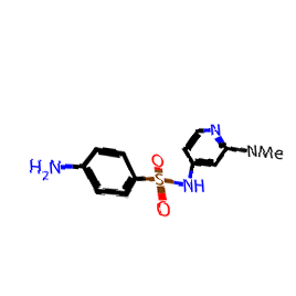 CNc1cc(NS(=O)(=O)c2ccc(N)cc2)ccn1